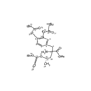 COC(=O)C(N)(Cc1ccc(OC(=O)C(C)(C)C)c(OC(=O)C(C)(C)C)c1)C[C@H](C)OC(=O)OCC(C)C